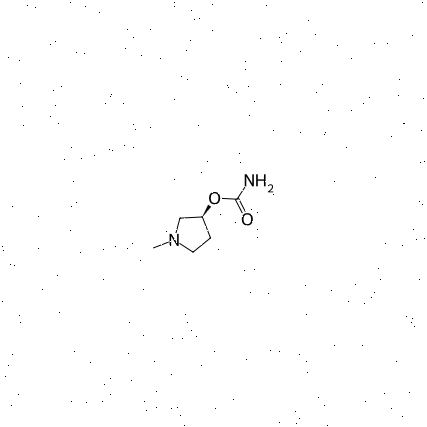 CN1CC[C@H](OC(N)=O)C1